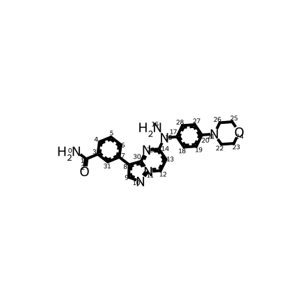 NC(=O)c1cccc(-c2cnn3ccc(N(N)c4ccc(N5CCOCC5)cc4)nc23)c1